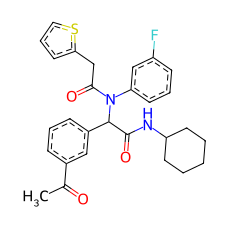 CC(=O)c1cccc(C(C(=O)NC2CCCCC2)N(C(=O)Cc2cccs2)c2cccc(F)c2)c1